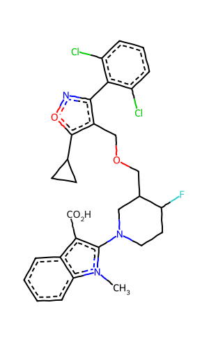 Cn1c(N2CCC(F)C(COCc3c(-c4c(Cl)cccc4Cl)noc3C3CC3)C2)c(C(=O)O)c2ccccc21